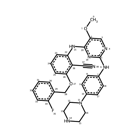 COc1cnc(Nc2ccc(N3CCNCC3)cc2)nc1Nc1cccc(OCc2ccccc2F)c1C#N